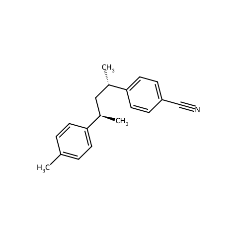 Cc1ccc([C@H](C)C[C@H](C)c2ccc(C#N)cc2)cc1